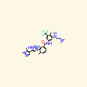 Cc1c(NCCN(C)C)cc(NC(=O)C2=CC=CC(C)C(N3C=C(c4cnn(C)c4C)NN3)=C2)cc1C(F)(F)F